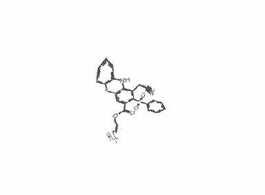 CCOC(=O)c1cc2c(c(CC#N)c1S(=O)(=O)c1ccccc1)Nc1ccccc1S2